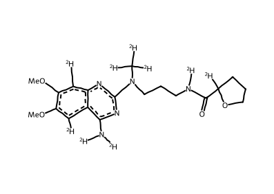 [2H]c1c(OC)c(OC)c([2H])c2c(N([2H])[2H])nc(N(CCCN([2H])C(=O)C3([2H])CCCO3)C([2H])([2H])[2H])nc12